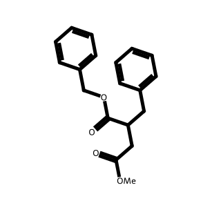 COC(=O)CC(Cc1ccccc1)C(=O)OCc1ccccc1